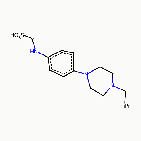 CC(C)CN1CCN(c2ccc(N[CH]S(=O)(=O)O)cc2)CC1